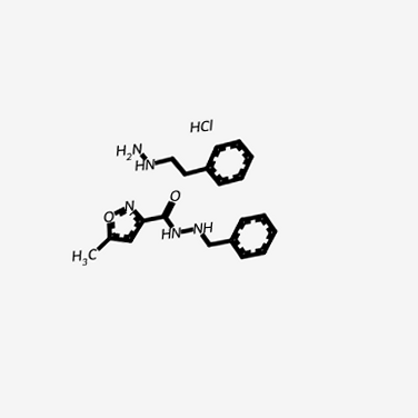 Cc1cc(C(=O)NNCc2ccccc2)no1.Cl.NNCCc1ccccc1